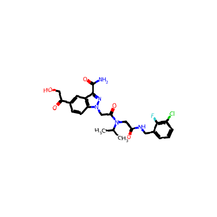 CC(C)N(CC(=O)NCc1cccc(Cl)c1F)C(=O)Cn1nc(C(N)=O)c2cc(C(=O)CO)ccc21